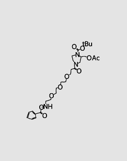 CC(=O)OCC1CN(C(=O)CCOCCOCCOCCNOC(=O)c2ccccc2)CCN1C(=O)OC(C)(C)C